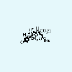 CCOC(=O)[C@@H](CCC(=O)OC(C)(C)C)NC(=O)[C@@H](NC(=O)C(C)(C)c1ccc(Cl)cc1)C(C)C